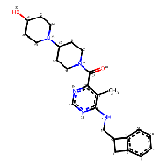 Cc1c(NCC2Cc3ccccc32)ncnc1C(=O)N1CCC(N2CCC(O)CC2)CC1